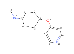 CNC1CCC(Oc2ccncc2)CC1